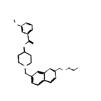 CCOc1cccc(C(=O)NC2CCN(Cc3ccc4ccc(COCCOC)cc4c3)CC2)c1